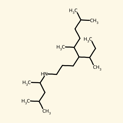 CCC(C)C(CCCNC(C)CC(C)C)C(C)CCC(C)C